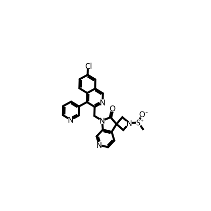 C[S+]([O-])N1CC2(C1)C(=O)N(Cc1ncc3cc(Cl)ccc3c1-c1cccnc1)c1cnccc12